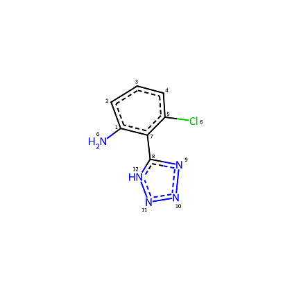 Nc1cccc(Cl)c1-c1nnn[nH]1